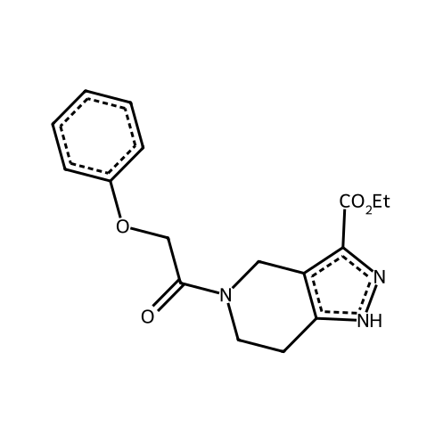 CCOC(=O)c1n[nH]c2c1CN(C(=O)COc1ccccc1)CC2